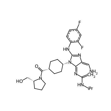 C=C(/N=C1\C(=C/N)N=C(Nc2ccc(F)cc2F)N1[C@H]1CC[C@@H](C(=O)N2CCC[C@@H]2CO)CC1)NC(C)C